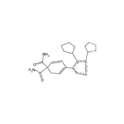 NC(=O)C1(C(N)=O)C=CC(c2cccc(C3CCCC3)c2C2CCCC2)=CC1